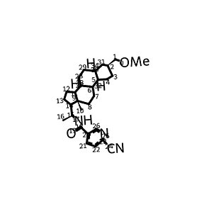 COC[C@H]1CC[C@@H]2C3CC[C@@]4(C)C(CCC4[C@H](C)NC(=O)c4ccc(C#N)nc4)[C@@H]3CC[C@@H]2C1